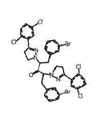 O=C(C(Cc1cccc(Br)c1)N1CCC(c2cc(Cl)ccc2Cl)=N1)C(Cc1cccc(Br)c1)N1CCC(c2cc(Cl)ccc2Cl)=N1